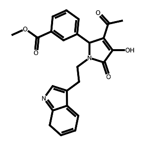 COC(=O)c1cccc(C2C(C(C)=O)=C(O)C(=O)N2CCC2=CN=C3CC=CC=C23)c1